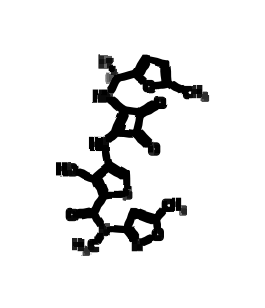 CC[C@@H](Nc1c(Nc2csc(C(=O)N(C)c3cc(C)on3)c2O)c(=O)c1=O)c1ccc(C)o1